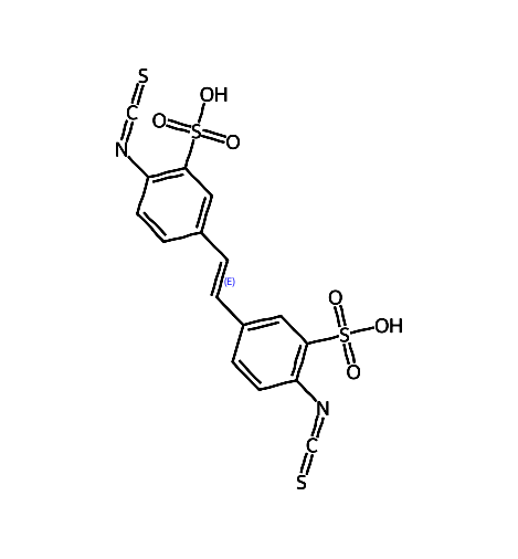 O=S(=O)(O)c1cc(/C=C/c2ccc(N=C=S)c(S(=O)(=O)O)c2)ccc1N=C=S